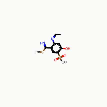 C/C=N\c1cc(O)c(S(=O)(=O)C(C)(C)C)cc1C(=N)SCC